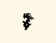 CC(C)C(/C=C/c1c(F)cc(Cl)cc1F)C(=O)O